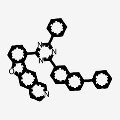 c1ccc(-c2ccc3ccc(-c4nc(-c5ccccc5)nc(-c5cccc6oc7cc8ccncc8cc7c56)n4)cc3c2)cc1